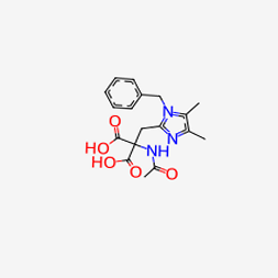 CC(=O)NC(Cc1nc(C)c(C)n1Cc1ccccc1)(C(=O)O)C(=O)O